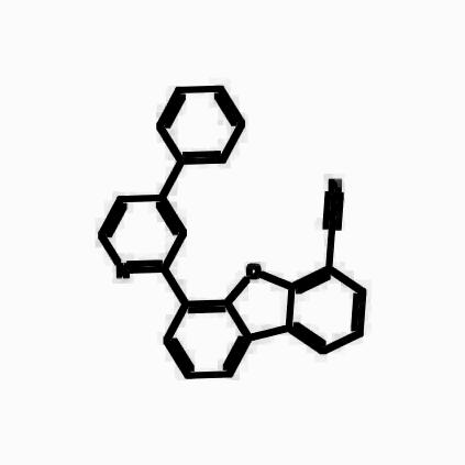 N#Cc1cccc2c1oc1c(-c3cc(-c4ccccc4)ccn3)cccc12